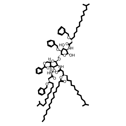 CCCCCCCCCCCCCCCC(=O)O[C@H](CCCCCCCCCCCC(C)C)CC(=O)N[C@H]1[C@H](OC[C@H]2O[C@@H](O)[C@H](NC(=O)C[C@@H](CCCCCCCCCCCC(C)C)OCc3ccccc3)[C@@H](O)[C@@H]2OCc2ccccc2)O[C@@H]2COC(c3ccccc3)O[C@H]2[C@@H]1ONC(=O)C[C@@H](CCCCCCCCCC(C)C)OCc1ccccc1